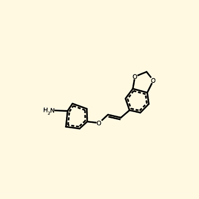 Nc1ccc(OC=Cc2ccc3c(c2)OCO3)cc1